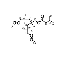 COOCC(C)(C)CC(C)(COC(=O)CC(C)C)CC(C)(C)COOC